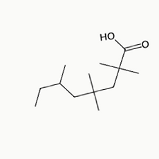 CCC(C)CC(C)(C)CC(C)(C)C(=O)O